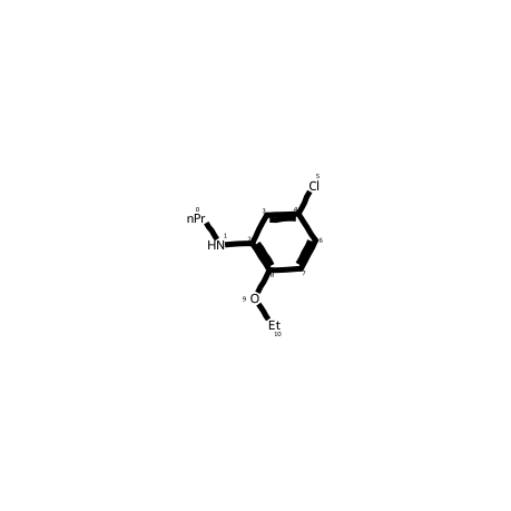 CCCNc1cc(Cl)ccc1OCC